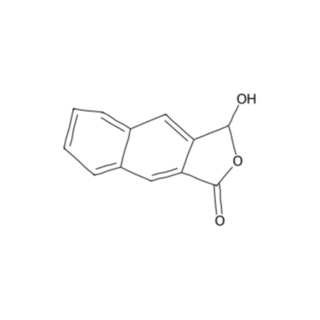 O=C1OC(O)c2cc3ccccc3cc21